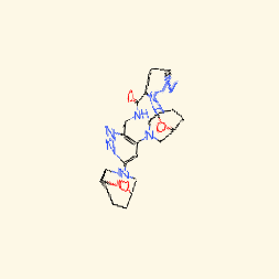 O=C(NCc1nnc(N2CC3CCC(C2)O3)cc1N1CC2CCC(C1)O2)c1ccn[nH]1